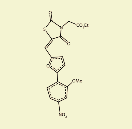 CCOC(=O)CN1C(=O)SC(=Cc2ccc(-c3ccc([N+](=O)[O-])cc3OC)o2)C1=O